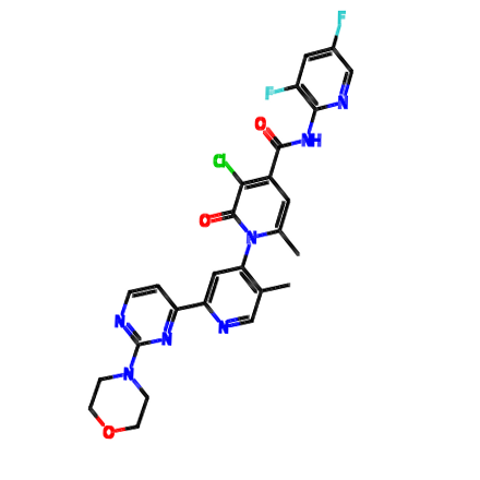 Cc1cnc(-c2ccnc(N3CCOCC3)n2)cc1-n1c(C)cc(C(=O)Nc2ncc(F)cc2F)c(Cl)c1=O